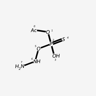 CC(=O)OP(O)(=S)ONN